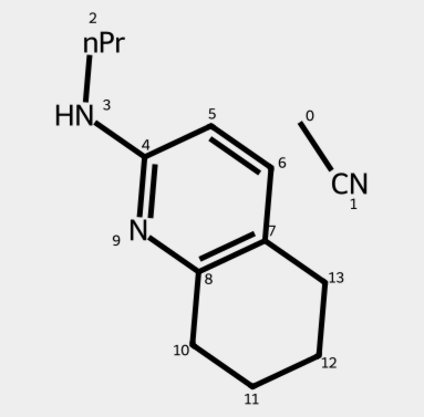 CC#N.CCCNc1ccc2c(n1)CCCC2